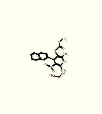 CCO.COC(=O)OC1=C(C)NC(C)=C([N+](=O)[O-])C1c1ccc2ccccc2c1